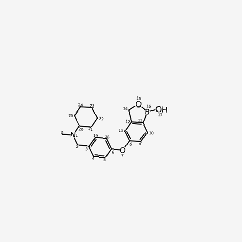 CN(Cc1ccc(Oc2ccc3c(c2)COB3O)cc1)C1CCCCC1